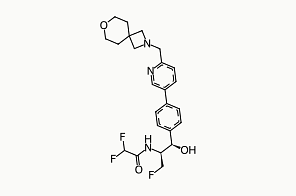 O=C(N[C@H](CF)[C@H](O)c1ccc(-c2ccc(CN3CC4(CCOCC4)C3)nc2)cc1)C(F)F